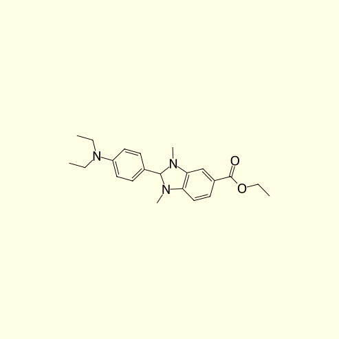 CCOC(=O)c1ccc2c(c1)N(C)C(c1ccc(N(CC)CC)cc1)N2C